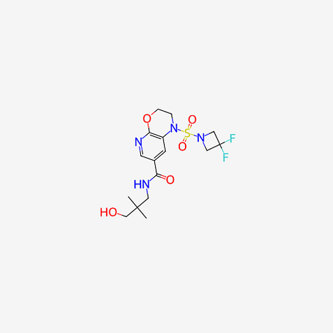 CC(C)(CO)CNC(=O)c1cnc2c(c1)N(S(=O)(=O)N1CC(F)(F)C1)CCO2